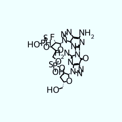 Nc1nc2c(nnn2[C@@H]2O[C@H](CO)C[C@H]2OP(O)(=S)OCC2O[C@@H](n3nnc4c(N)ncnc43)[C@@H](F)[C@@H]2O[PH](O)=S)c(=O)[nH]1